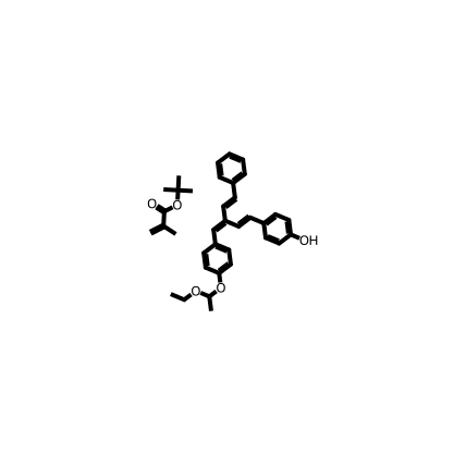 C=C(C)C(=O)OC(C)(C)C.CCOC(C)Oc1ccc(C=C(C=Cc2ccccc2)C=Cc2ccc(O)cc2)cc1